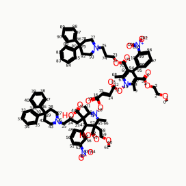 COCCOC(=O)C1=C(C)N(OC(=O)/C=C/C(=O)ON2C(C)C(CCCN3CCC(c4ccccc4)(c4ccccc4)CC3)(C(=O)O)C(c3cccc([N+](=O)[O-])c3)C(CCOC)(C(=O)O)C2C)C(C)=C(C(=O)OCCCN2CCC(c3ccccc3)(c3ccccc3)CC2)C1c1cccc([N+](=O)[O-])c1